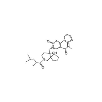 CNC(=O)c1cn(CC2(O)CCN(C(=O)C(C)CC(C)C)CC23CCCC3)c(=O)cc1-c1ccccc1